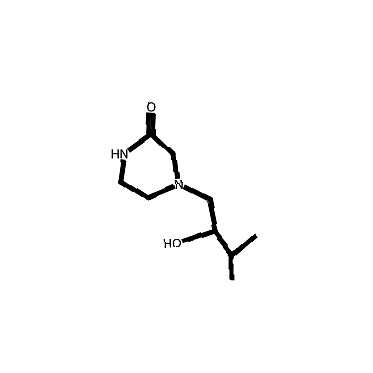 CC(C)C(O)CN1CCNC(=O)C1